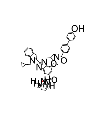 COc1cc(C(=O)N2C[C@H]3CC[C@@H]2[C@@H]3N)cc2nc(-c3cc4ccccc4n3CC3CC3)n(CC3CN(C(=O)c4ccc(-c5ccc(O)cc5)cc4)C3)c12